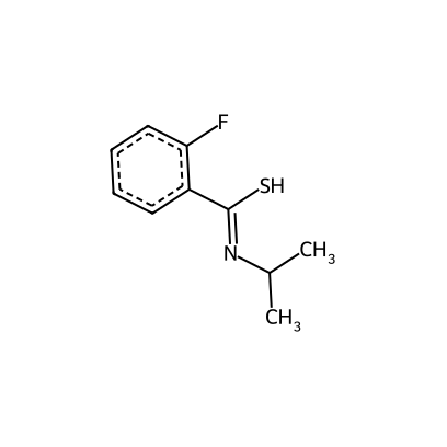 CC(C)/N=C(\S)c1ccccc1F